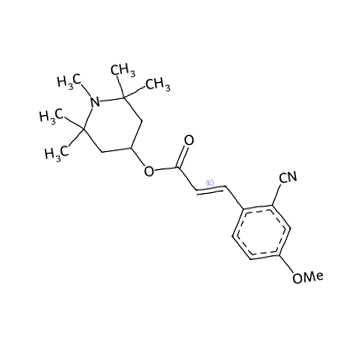 COc1ccc(/C=C/C(=O)OC2CC(C)(C)N(C)C(C)(C)C2)c(C#N)c1